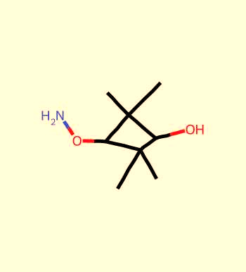 CC1(C)C(O)C(C)(C)C1ON